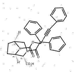 O=C(O)[C@@H]1[C@H]2CC[C@@H](CN1C(=O)C(c1ccccc1)c1ccccc1)N2C(=O)OCC#Cc1ccccc1